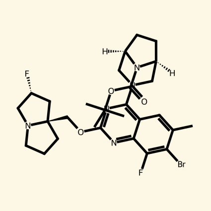 Cc1cc2c(N3C[C@H]4CC[C@@H](C3)N4C(=O)OC(C)(C)C)nc(OC[C@@]34CCCN3C[C@H](F)C4)nc2c(F)c1Br